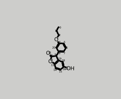 CCCOc1cccc(C2C(=O)Oc3ccc(O)cc32)c1